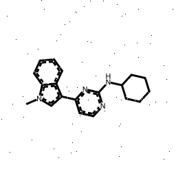 Cn1cc(-c2ccnc(NC3CCCCC3)n2)c2ccccc21